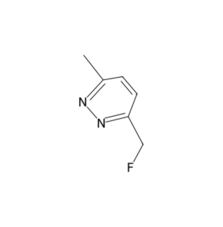 Cc1ccc(CF)nn1